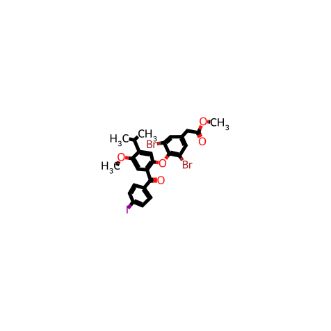 COC(=O)Cc1cc(Br)c(Oc2cc(C(C)C)c(OC)cc2C(=O)c2ccc(I)cc2)c(Br)c1